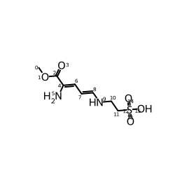 COC(=O)/C(N)=C/C=C/NCCS(=O)(=O)O